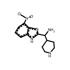 NC(c1nc2c([N+](=O)[O-])cccc2[nH]1)C1CCNCC1